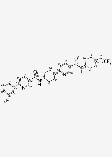 O=C(NC1CCN(CC(F)(F)F)CC1)c1ccc(N2CCC(NC(=O)c3ccc(-c4cccc(F)c4)nc3)CC2)nc1